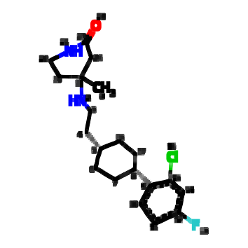 CC1(NCC[C@H]2CC[C@@H](c3ccc(F)cc3Cl)CC2)CCNC(=O)C1